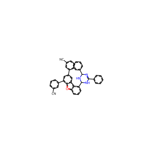 N#Cc1cccc(-c2cc(-c3cccc(C#N)c3)c3oc4cccc(C5NC(c6ccccc6)=NC(c6ccccc6)N5)c4c3c2)c1